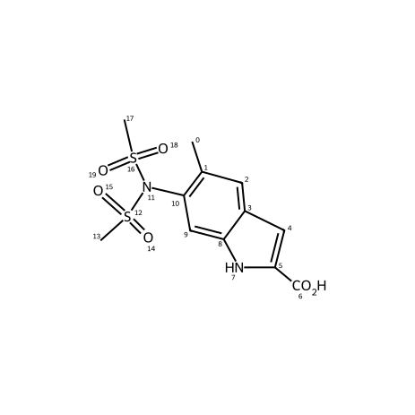 Cc1cc2cc(C(=O)O)[nH]c2cc1N(S(C)(=O)=O)S(C)(=O)=O